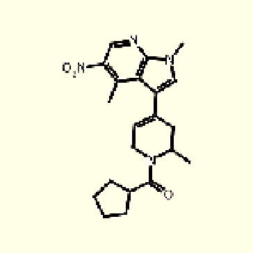 Cc1c([N+](=O)[O-])cnc2c1c(C1=CCN(C(=O)C3CCCC3)C(C)C1)cn2C